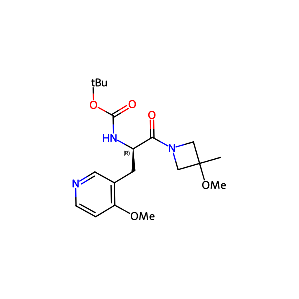 COc1ccncc1C[C@@H](NC(=O)OC(C)(C)C)C(=O)N1CC(C)(OC)C1